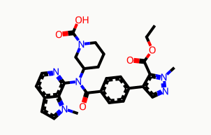 CCOC(=O)c1c(-c2ccc(C(=O)N(c3nccc4ccn(C)c34)C3CCCN(C(=O)O)C3)cc2)cnn1C